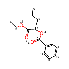 CCCC(OC(=O)c1ccccc1)C(=O)OCC